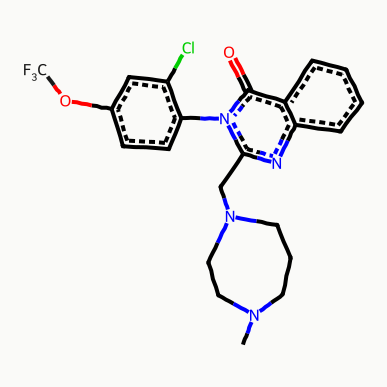 CN1CCCN(Cc2nc3ccccc3c(=O)n2-c2ccc(OC(F)(F)F)cc2Cl)CC1